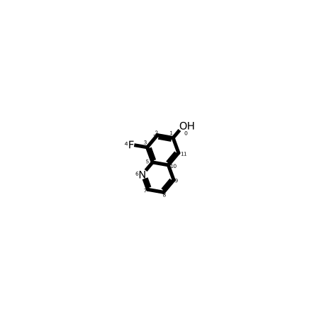 Oc1[c]c(F)c2ncccc2c1